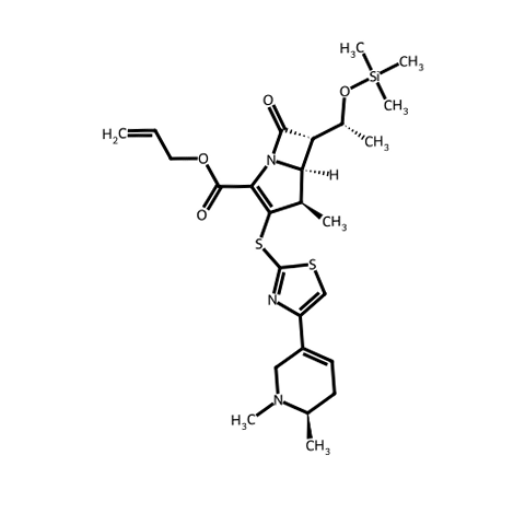 C=CCOC(=O)C1=C(Sc2nc(C3=CC[C@@H](C)N(C)C3)cs2)[C@H](C)[C@@H]2[C@@H]([C@@H](C)O[Si](C)(C)C)C(=O)N12